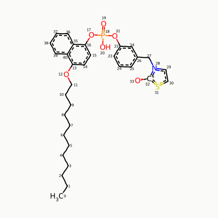 CCCCCCCCCCCCOc1ccc(OP(=O)(O)Oc2cccc(Cn3ccs[c+]3[O-])c2)c2ccccc12